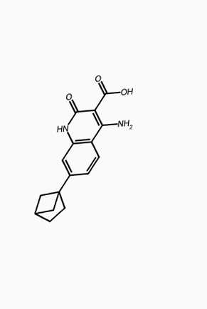 Nc1c(C(=O)O)c(=O)[nH]c2cc(C34CCC(C3)C4)ccc12